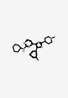 CN1CCC(c2nc(-c3cccc(F)c3)c(-c3ccnc(NC4CCCCC4)n3)s2)CC1